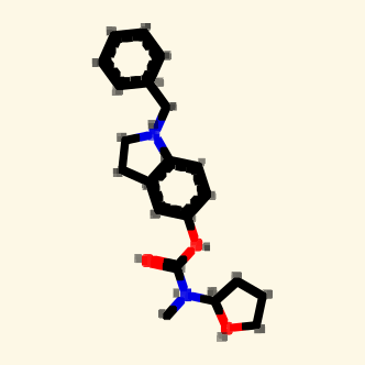 CN(C(=O)Oc1ccc2c(c1)CCN2Cc1ccccc1)C1CCCO1